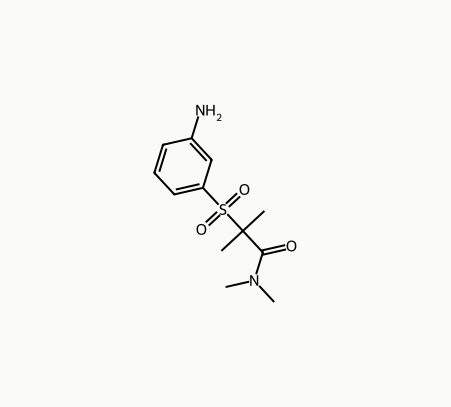 CN(C)C(=O)C(C)(C)S(=O)(=O)c1cccc(N)c1